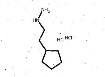 Cl.Cl.NNCCC1CCCC1